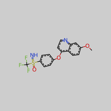 COc1ccc2c(Oc3ccc(S(=N)(=O)C(F)(F)F)cc3)ccnc2c1